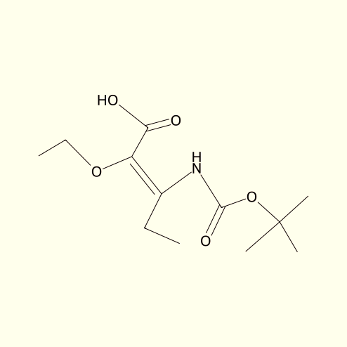 CCO/C(C(=O)O)=C(\CC)NC(=O)OC(C)(C)C